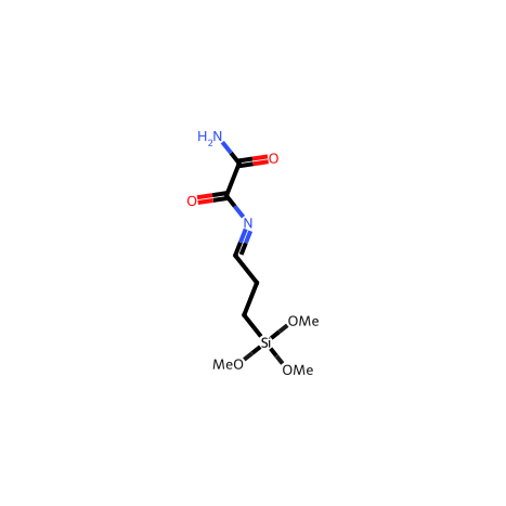 CO[Si](CCC=NC(=O)C(N)=O)(OC)OC